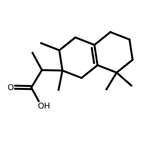 CC1CC2=C(CC1(C)C(C)C(=O)O)C(C)(C)CCC2